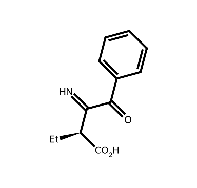 CC[C@@H](C(=N)C(=O)c1ccccc1)C(=O)O